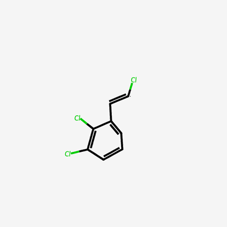 Cl[C]=Cc1cccc(Cl)c1Cl